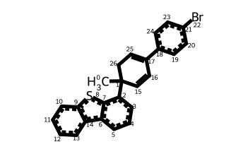 CC1(c2cccc3c2sc2ccccc23)C=CC(c2ccc(Br)cc2)=CC1